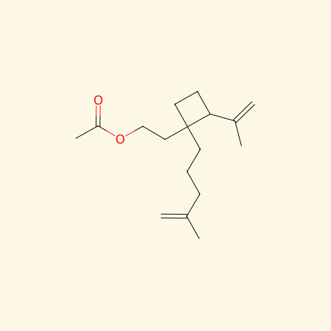 C=C(C)CCCC1(CCOC(C)=O)CCC1C(=C)C